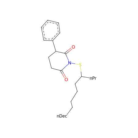 CCCCCCCCCCCCCCC(CCC)SN1C(=O)CCC(c2ccccc2)C1=O